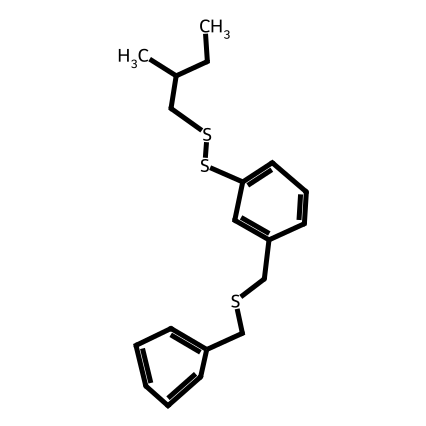 CCC(C)CSSc1cccc(CSCc2ccccc2)c1